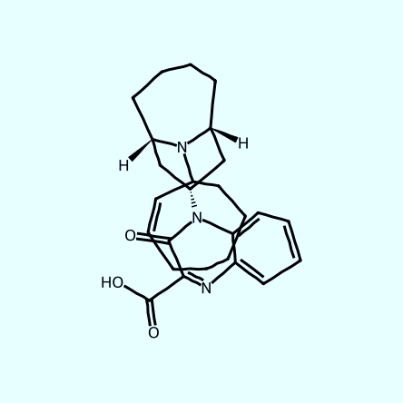 O=C(O)c1nc2ccccc2n([C@H]2C[C@H]3CCCC[C@@H](C2)N3C2/C=C\CCCCC2)c1=O